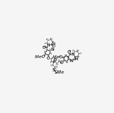 COc1cc2c(cc1OCCP(=O)(CCOc1cc3c(cc1OC)C(=O)N1CCCC[C@H]1C=N3)CCSSC)N=C[C@@H]1CCCCN1C2=O